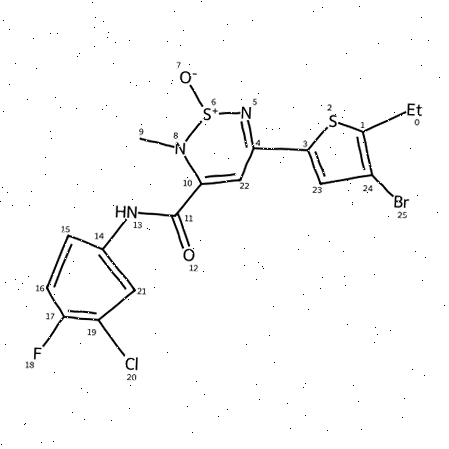 CCc1sc(C2=N[S+]([O-])N(C)C(C(=O)Nc3ccc(F)c(Cl)c3)=C2)cc1Br